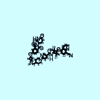 CN(CC1CCN(c2ccc(C(=O)NC3C(C)(C)C(Oc4ccc(C#N)c5ncccc45)C3(C)C)cn2)CC1)[C@H]1C[C@H](Oc2ccc3c(c2)C(=O)N(C2CCC(=O)NC2=O)C3=O)C1